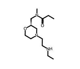 CCNCCN1CCO[C@@H](CN(C)C(=O)CC)C1